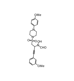 COc1ccc(N2CCN(S(=O)(=O)CC(C#Cc3cccc(OC)c3)N(O)C=O)CC2)cc1